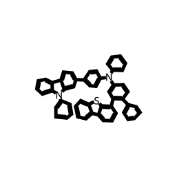 c1ccc(-c2ccc(N(c3ccccc3)c3ccc(-c4ccc5c6ccccc6n(-c6ccccc6)c5c4)cc3)cc2-c2cccc3c2sc2ccccc23)cc1